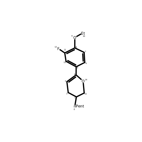 CCCCCC1CC=C(c2ccc(OCC)c(F)c2)OC1